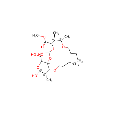 CCCCOC1[C@@H](OC(CO)OC(C(=O)OC)[C@@H](C)[C@H](C)OCCCC)C(CO)O[C@@H](O)[C@H]1C